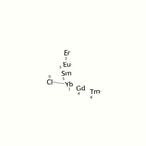 [Cl][Yb].[Er].[Eu].[Gd].[Sm].[Tm]